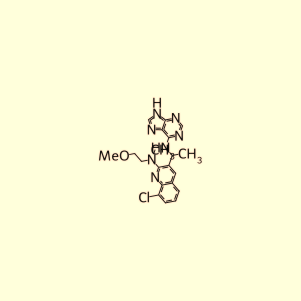 COCCN(C)c1nc2c(Cl)cccc2cc1C(C)Nc1ncnc2[nH]cnc12